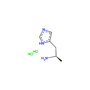 C[C@@H](N)Cc1cnc[nH]1.Cl.Cl